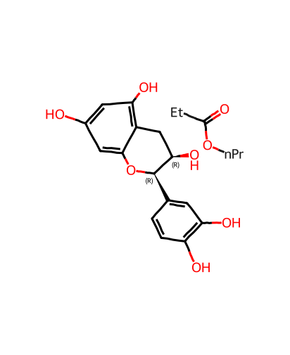 CCCOC(=O)CC.Oc1cc(O)c2c(c1)O[C@H](c1ccc(O)c(O)c1)[C@H](O)C2